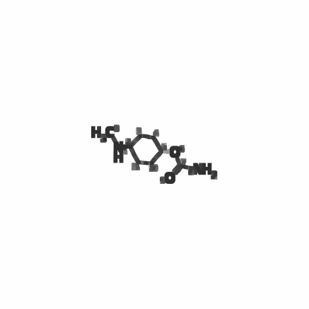 CN[C@H]1CC[C@H](OC(N)=O)CC1